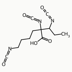 CCC(N=C=O)C(CCCCN=C=O)(N=C=O)C(=O)O